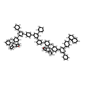 c1ccc(-c2cc(-c3ccc(-c4nc(-c5ccccc5)nc(-c5ccc6c(c5)Oc5ccccc5C65c6ccccc6-c6ccccc65)n4)cc3)cc(-c3cccc(-c4ccc5c(c4)C4(c6ccc(-c7nc(-c8ccccc8)nc(-c8ccc(-c9cccc%10cccnc9%10)cc8)n7)cc6O5)c5ccccc5-c5ccccc54)c3)c2)cc1